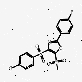 CS(=O)(=O)c1oc(-c2ccc(F)cc2)nc1S(=O)(=O)c1ccc(Cl)cc1